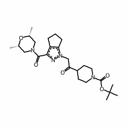 C[C@@H]1CN(C(=O)c2nn(CC(=O)C3CCN(C(=O)OC(C)(C)C)CC3)c3c2CCC3)C[C@H](C)O1